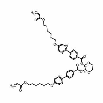 C=CC(=O)OCCCCCCOc1cnc(-c2ccc(C(=O)O[C@@H]3OCCO[C@H]3OC(=O)c3ccc(-c4ncc(OCCCCCCOC(=O)C=C)cn4)cc3)cc2)nc1